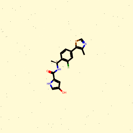 Cc1ncsc1-c1ccc([C@H](C)NC(=O)c2cc(O)c[nH]2)c(F)c1